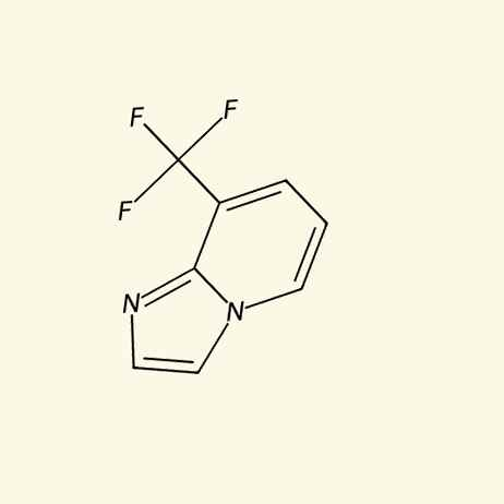 FC(F)(F)c1cccn2ccnc12